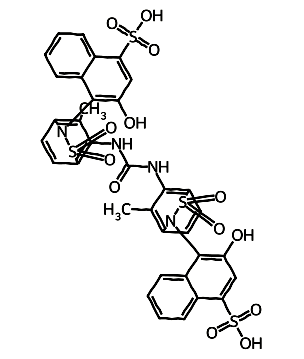 Cc1c2ccc(c1NC(=O)Nc1c3ccc(c1C)N(c1c(O)cc(S(=O)(=O)O)c4ccccc14)S3(=O)=O)S(=O)(=O)N2c1c(O)cc(S(=O)(=O)O)c2ccccc12